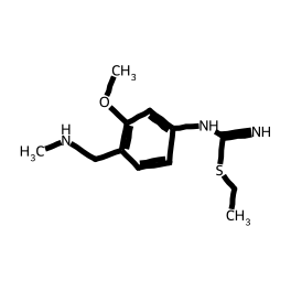 CCSC(=N)Nc1ccc(CNC)c(OC)c1